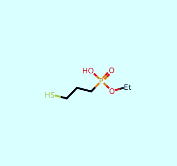 CCOP(=O)(O)CCCS